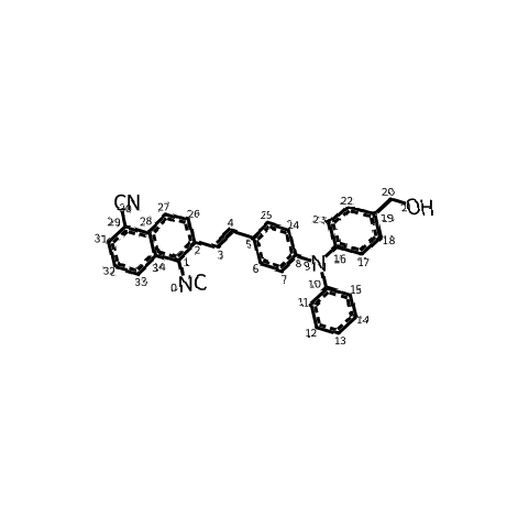 [C-]#[N+]c1c(C=Cc2ccc(N(c3ccccc3)c3ccc(CO)cc3)cc2)ccc2c(C#N)cccc12